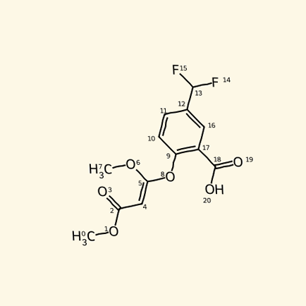 COC(=O)C=C(OC)Oc1ccc(C(F)F)cc1C(=O)O